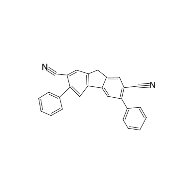 N#Cc1cc2c(cc1-c1ccccc1)-c1cc(-c3ccccc3)c(C#N)cc1C2